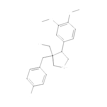 COc1ccc(C2CNCC2(CO)Cc2ccc(Cl)cc2)cc1OC